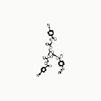 N#Cc1ccc(C(=O)OCC(=O)OCC(COC(=O)COC(=O)c2ccc(C#N)cc2)OC(=O)COC(=O)c2ccc(N=C=O)cc2)cc1